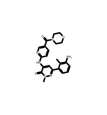 Cc1c(N)cccc1-c1cc(Nc2ccc(C(=O)N3CCOCC3)cn2)c(=O)n(C)n1